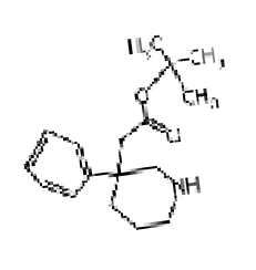 CC(C)(C)OC(=O)CC1(c2ccccc2)CCCNC1